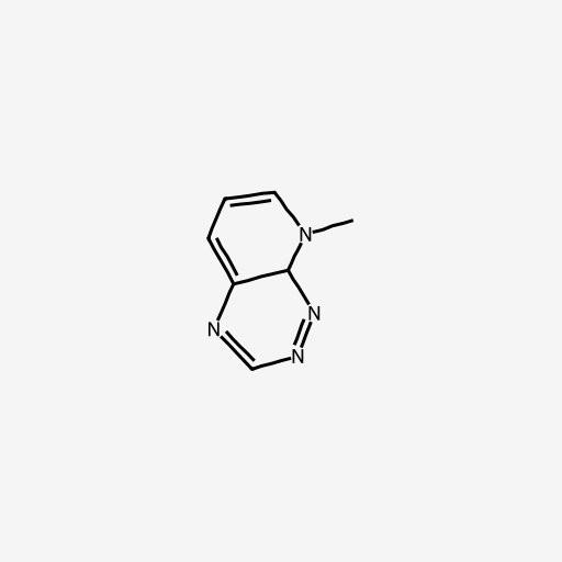 CN1C=CC=C2N=CN=NC21